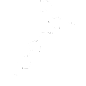 CC(=O)N1CCN(c2ccc(C(=O)Nc3nc(C)nc(-c4ccncc4)n3)cn2)CC1